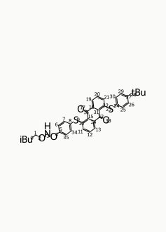 CCC(C)CONOc1ccc(Sc2cccc3c2C(=O)c2cccc(Sc4ccc(C(C)(C)C)cc4)c2C3=O)cc1